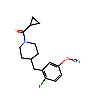 COc1ccc(F)c(CC2CCN(C(=O)C3CC3)CC2)c1